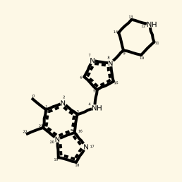 Cc1nc(Nc2cnn(C3CCNCC3)c2)c2nccn2c1C